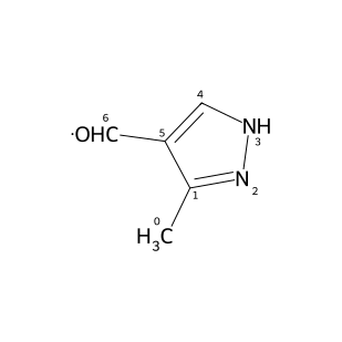 Cc1n[nH]cc1[C]=O